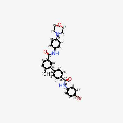 Cc1ccc(C(=O)Nc2ccc(N3CCOCC3)cc2)cc1-c1ccc(C(=O)Nc2ccc(Br)cc2)cc1